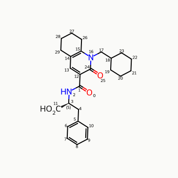 O=C(N[C@@H](Cc1ccccc1)C(=O)O)c1cc2c(n(CC3CCCCC3)c1=O)CCCC2